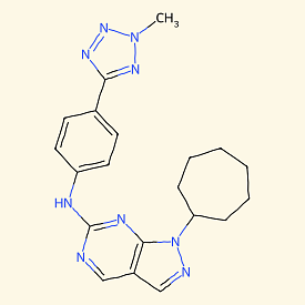 Cn1nnc(-c2ccc(Nc3ncc4cnn(C5CCCCCC5)c4n3)cc2)n1